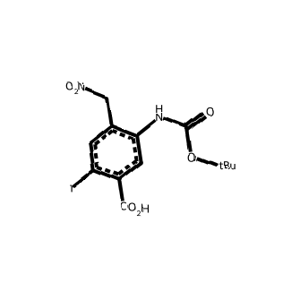 CC(C)(C)OC(=O)Nc1cc(C(=O)O)c(I)cc1C[N+](=O)[O-]